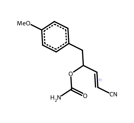 COc1ccc(CC(/C=C/C#N)OC(N)=O)cc1